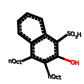 CCCCCCCCc1c(O)c(S(=O)(=O)O)c2ccccc2c1CCCCCCCC